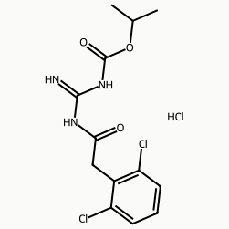 CC(C)OC(=O)NC(=N)NC(=O)Cc1c(Cl)cccc1Cl.Cl